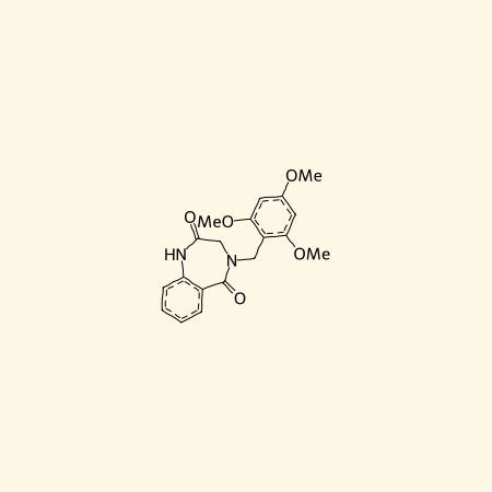 COc1cc(OC)c(CN2CC(=O)Nc3ccccc3C2=O)c(OC)c1